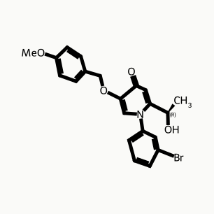 COc1ccc(COc2cn(-c3cccc(Br)c3)c([C@@H](C)O)cc2=O)cc1